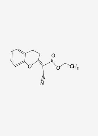 CCOC(=O)C(C#N)=C1CCc2ccccc2O1